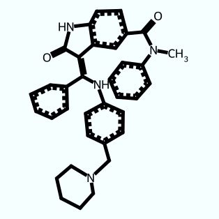 CN(C(=O)c1ccc2c(c1)C(=C(Nc1ccc(CN3CCCCC3)cc1)c1ccccc1)C(=O)N2)c1ccccc1